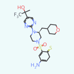 CC(O)(c1cnc(N2CCN(S(=O)(=O)C3=CC(N)=CCC3=S)C[C@@H]2CC2CCOCC2)nc1)C(F)(F)F